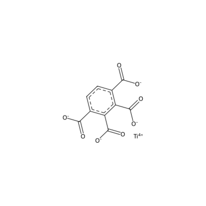 O=C([O-])c1ccc(C(=O)[O-])c(C(=O)[O-])c1C(=O)[O-].[Ti+4]